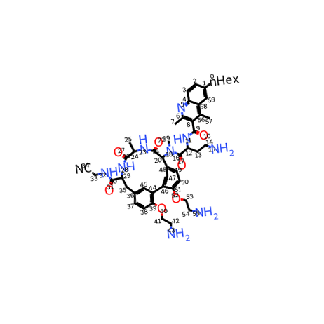 CCCCCCc1ccc2nc(C)c(C(=O)NC(CCN)C(=O)N(C)C3C(=O)NC(C)C(=O)NC(C(=O)NCC#N)Cc4ccc(OCCN)c(c4)-c4cc3ccc4OCCN)c(C)c2c1